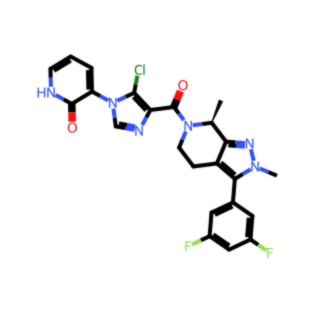 C[C@H]1c2nn(C)c(-c3cc(F)cc(F)c3)c2CCN1C(=O)c1ncn(-c2ccc[nH]c2=O)c1Cl